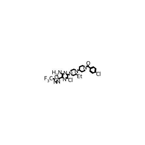 CC[C@H]1CN(c2nc(N)c(-c3nnc(C(F)(F)F)o3)nc2Cl)CCN1C1CCN(C(=O)c2ccc(Cl)cc2)CC1